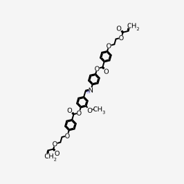 C=CC(=O)OCCOc1ccc(C(=O)Oc2ccc(/N=C/c3ccc(OC(=O)c4ccc(OCCOC(=O)C=C)cc4)c(OC)c3)cc2)cc1